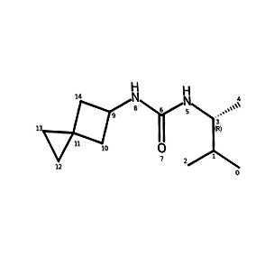 CC(C)[C@@H](C)NC(=O)NC1CC2(CC2)C1